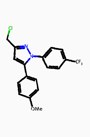 COc1ccc(-c2cc(CCl)nn2-c2ccc(C(F)(F)F)cc2)cc1